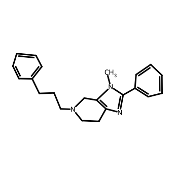 Cn1c(-c2ccccc2)nc2c1CN(CCCc1ccccc1)CC2